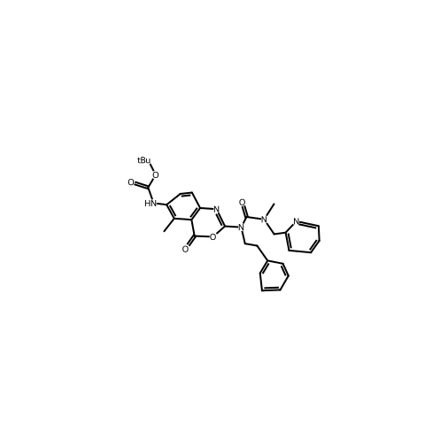 Cc1c(NC(=O)OC(C)(C)C)ccc2nc(N(CCc3ccccc3)C(=O)N(C)Cc3ccccn3)oc(=O)c12